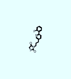 O=C1CSC(=O)N1CCCc1ccc(-c2ccccc2F)nc1